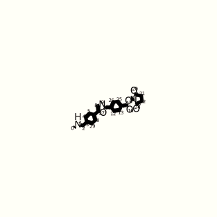 CNCc1ccc(-c2cnc(-c3ccc(C(=O)ON4C(=O)CCC4=O)cc3)o2)cc1